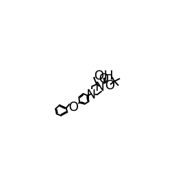 CC(C)(C)OC(=O)N1CCN(c2ccc(OCc3ccccc3)cc2)CC1CO